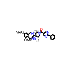 CCNC1(C2=C[C@H](C)c3c(cc(OC)cc3OC)CN2C=O)CCN(C(=O)c2cnc(-c3ccccc3)nc2)CC1